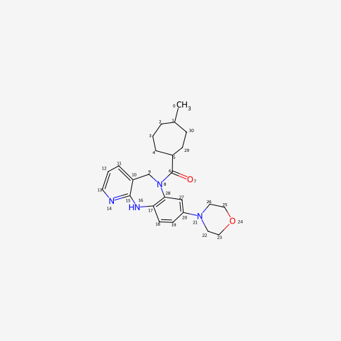 CC1CCCC(C(=O)N2Cc3cccnc3Nc3ccc(N4CCOCC4)cc32)CC1